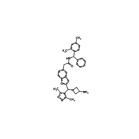 Cc1ccc(C(NC(=O)Cc2ccc3oc(C(c4c(C)noc4C)N4CC(N)C4)cc3c2)c2ccccc2)c(C(F)(F)F)c1